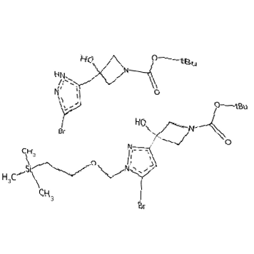 CC(C)(C)OC(=O)N1CC(O)(c2cc(Br)n(COCC[Si](C)(C)C)n2)C1.CC(C)(C)OC(=O)N1CC(O)(c2cc(Br)n[nH]2)C1